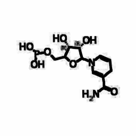 NC(=O)C1=CN(C2OC(COP(O)O)[C@H](O)[C@@H]2O)C=CC1